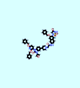 O=C(CN1CC=C(c2ccc3c(c2)n(C2COC2)c(=O)n3-c2ccc(OCc3ccccc3)nc2OCc2ccccc2)CC1)Nc1ccc2c(F)c(N3CC(=O)NS3(=O)=O)c(OCc3ccccc3)cc2c1